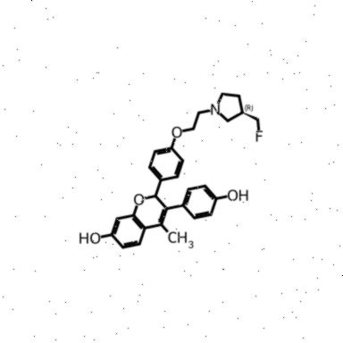 CC1=C(c2ccc(O)cc2)C(c2ccc(OCCN3CC[C@@H](CF)C3)cc2)Oc2cc(O)ccc21